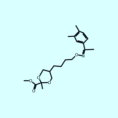 COC(=O)C1(C)OCC(CCCCON=C(C)c2ccc(C)c(C)c2)CO1